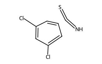 Clc1cccc(Cl)c1.N=C=S